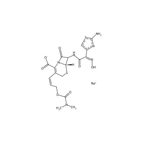 CN(C)C(=O)OC/C=C\C1=C(C(=O)[O-])N2C(=O)C(NC(=O)/C(=N\O)c3csc(N)n3)[C@@H]2SC1.[Na+]